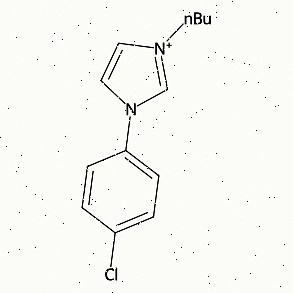 CCCC[n+]1ccn(-c2ccc(Cl)cc2)c1